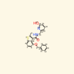 Cc1sc2cccc(OCc3ccccc3)c2c1C(=O)NCc1cccc(O)n1